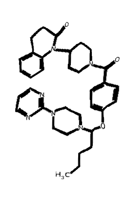 CCCCC(Oc1ccc(C(=O)N2CCC(N3C(=O)CCc4ccccc43)CC2)cc1)N1CCN(c2ncccn2)CC1